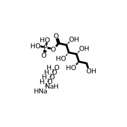 O.O.O.O.O=C(OP(=O)(O)O)[C@H](O)[C@@H](O)[C@H](O)[C@H](O)CO.[NaH].[NaH]